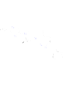 Cc1c(Cc2ccccc2)nnc(N2CCN(c3cnc(C=O)cn3)[C@H](C)C2)c1C